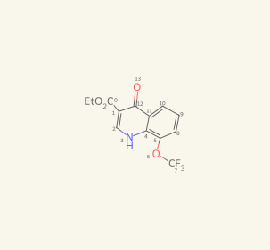 CCOC(=O)c1c[nH]c2c(OC(F)(F)F)cccc2c1=O